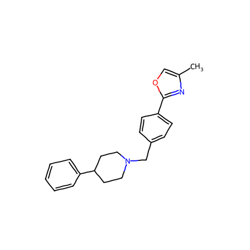 Cc1coc(-c2ccc(CN3CCC(c4ccccc4)CC3)cc2)n1